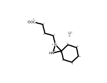 O=C([O-])CCCN1NC12CCCCC2.[Li+]